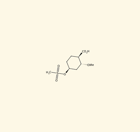 CO[C@@H]1C[C@@H](OS(C)(=O)=O)CC[C@H]1C(=O)O